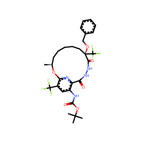 C[C@H]1CCCCC[C@](OCc2ccccc2)(C(F)(F)F)C(=O)NNC(=O)c2nc(c(C(F)(F)F)cc2NC(=O)OC(C)(C)C)O1